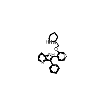 c1ccc(-c2c(-c3ccncc3OC[C@@H]3CCCCN3)[nH]c3cccnc23)cc1